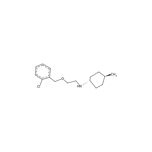 C[C@H]1CC[C@H](NCCOCc2ccccc2Cl)CC1